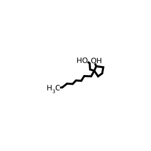 CCCCCCCCC1(CCO)CCCC1O